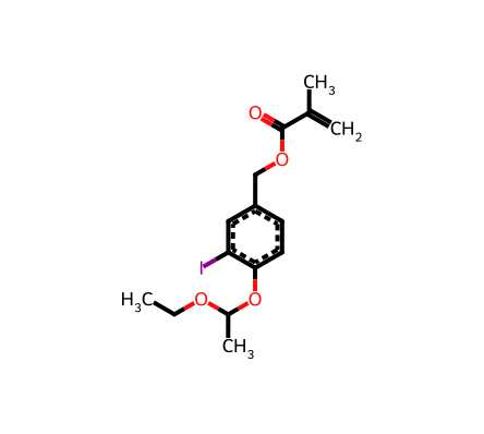 C=C(C)C(=O)OCc1ccc(OC(C)OCC)c(I)c1